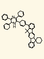 CC1(C)C2=CC3c4ccccc4C4(CCCCC4)C3C=C2c2cccc(C3=CCC(C4=C(C5=CC=CCC5)N=C(c5ccccc5)C(C5=CC=CCC5)N4)C=C3)c21